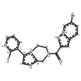 O=C(c1cc2ccc(Br)cn2n1)N1CCn2c(-c3cccnc3F)cnc2C1